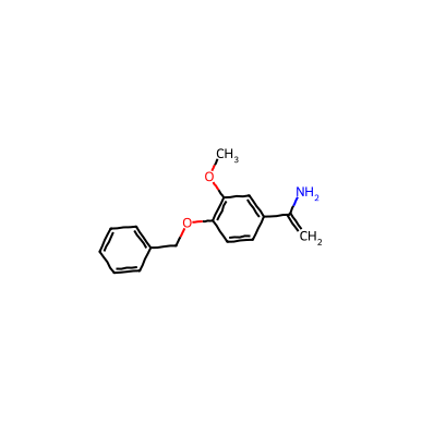 C=C(N)c1ccc(OCc2ccccc2)c(OC)c1